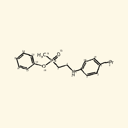 CC(C)c1ccc(NCCP(C)(=O)Oc2ccccc2)cc1